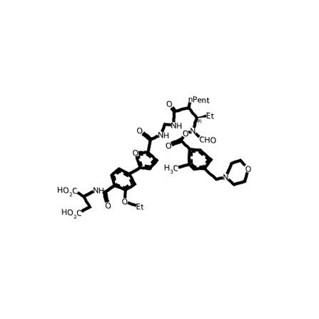 CCCCCC(C(=O)NCNC(=O)c1ccc(-c2ccc(C(=O)NC(CC(=O)O)C(=O)O)c(OCC)c2)o1)[C@@H](CC)N(C=O)OC(=O)c1ccc(CN2CCOCC2)cc1C